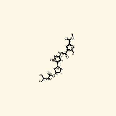 COC(=O)c1cc(C(=O)Nc2cc([C@H]3CC[C@@H](OC(=O)NC(C)C)C3)[nH]n2)n(C)n1